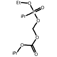 CCOP(=O)(OCOC(=O)OC(C)C)C(C)C